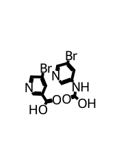 O=C(O)Nc1cncc(Br)c1.O=C(O)c1cncc(Br)c1